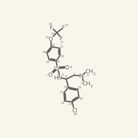 CN(C)CC(NS(=O)(=O)c1ccc(OC(F)(F)F)cc1)c1ccc(Cl)cc1